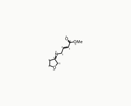 COC(=O)/C=C/C/N=C1/CCOC1